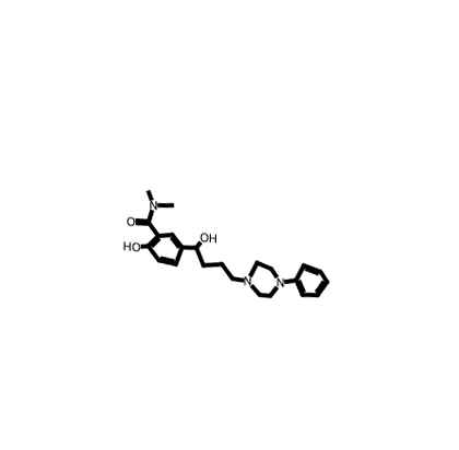 CN(C)C(=O)c1cc(C(O)CCCN2CCN(c3ccccc3)CC2)ccc1O